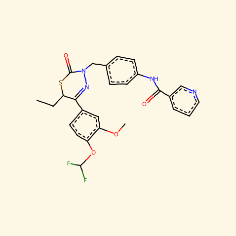 CCC1SC(=O)N(Cc2ccc(NC(=O)c3cccnc3)cc2)N=C1c1ccc(OC(F)F)c(OC)c1